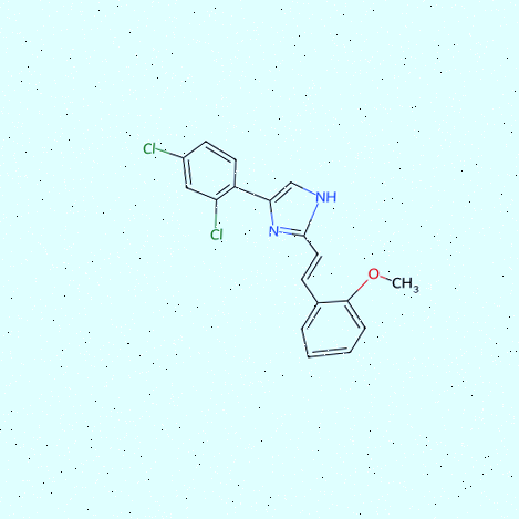 COc1ccccc1C=Cc1nc(-c2ccc(Cl)cc2Cl)c[nH]1